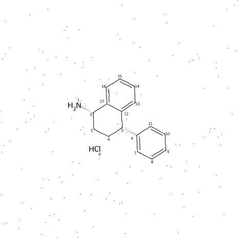 Cl.N[C@H]1CC[C@@H](c2ccccc2)c2ccccc21